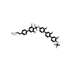 CCCc1ccc(-c2cc(F)c(C(F)(F)Oc3ccc(-c4ccc(-c5ccc(OC(F)(F)F)c(F)c5)c(F)c4)c(F)c3)c(F)c2)cc1